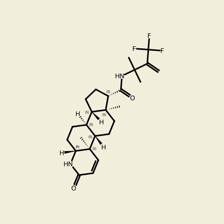 C=C(C(F)(F)F)C(C)(C)NC(=O)[C@H]1CC[C@H]2[C@@H]3CC[C@H]4NC(=O)C=C[C@]4(C)[C@H]3CC[C@]12C